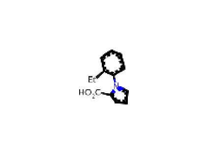 CCc1ccccc1-n1cccc1C(=O)O